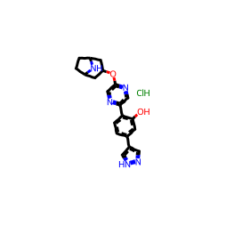 Cl.Oc1cc(-c2cn[nH]c2)ccc1-c1cnc(OC2CC3CCC(C2)N3)cn1